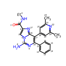 CCNC(=O)c1cn2c(N)nc(-c3ccccc3)c(-c3cc(C)nc(C)c3)c2n1